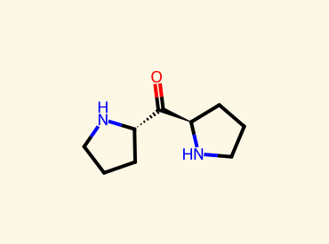 O=C([C@@H]1CCCN1)[C@H]1CCCN1